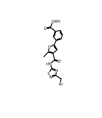 COC(=O)c1cccc(-c2cc(C(=O)Nc3nc(CC(C)=O)ns3)c(C)o2)c1